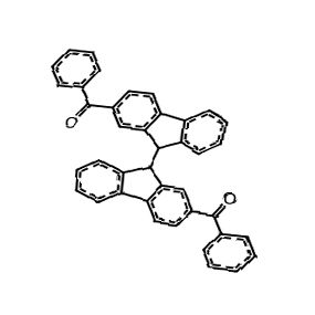 O=C(c1ccccc1)c1ccc2c(c1)C(C1c3ccccc3-c3ccc(C(=O)c4ccccc4)cc31)c1ccccc1-2